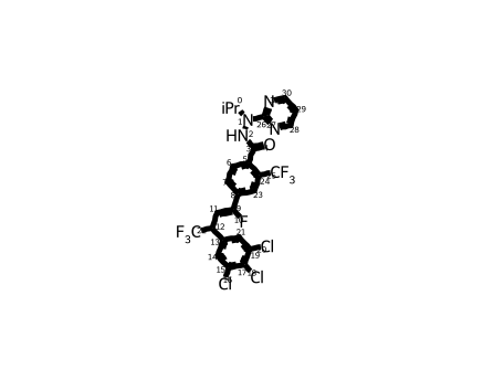 CC(C)N(NC(=O)c1ccc(/C(F)=C/C(c2cc(Cl)c(Cl)c(Cl)c2)C(F)(F)F)cc1C(F)(F)F)c1ncccn1